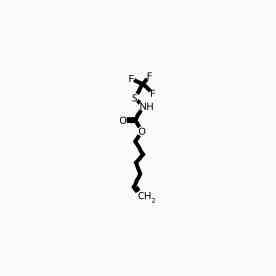 C=CCCCCOC(=O)NSC(F)(F)F